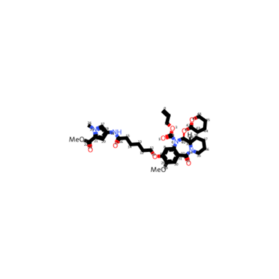 C=CCOC(=O)N1c2cc(OCCCCCC(=O)Nc3cc(C(=O)OC)n(C)c3)c(OC)cc2C(=O)N2CCCC[C@H]2[C@@H]1OC1CCCCO1